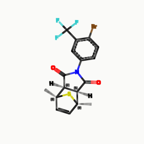 C[C@]12C=C[C@](C)(S1)[C@H]1C(=O)N(c3ccc(Br)c(C(F)(F)F)c3)C(=O)[C@H]12